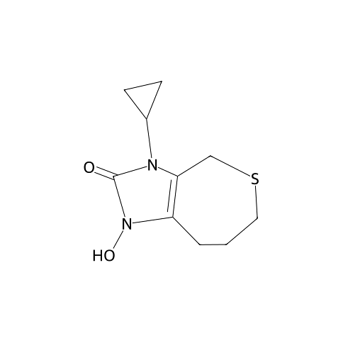 O=c1n(O)c2c(n1C1CC1)CSCCC2